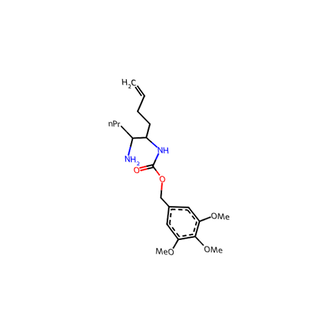 C=CCCC(NC(=O)OCc1cc(OC)c(OC)c(OC)c1)C(N)CCC